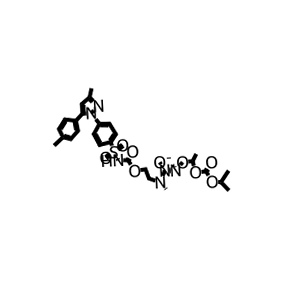 Cc1ccc(-c2cc(C)nn2-c2ccc(S(=O)(=O)NC(=O)OCCN(C)/[N+]([O-])=N/OC(C)OC(=O)OC(C)C)cc2)cc1